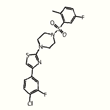 Cc1ccc(F)cc1S(=O)(=O)N1CCN(c2nc(-c3ccc(Cl)c(F)c3)cs2)CC1